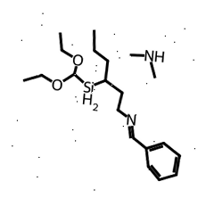 CCCC(CCN=Cc1ccccc1)[SiH2]C(OCC)OCC.CNC